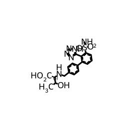 CC(O)[C@H](NCc1ccc(-c2cccc(S(N)(=O)=O)c2-c2nnn[nH]2)cc1)C(=O)O